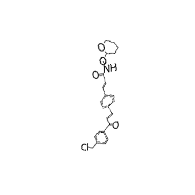 O=C(/C=C/c1ccc(/C=C/C(=O)c2ccc(CCl)cc2)cc1)NOC1CCCCO1